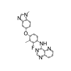 Cc1c(Oc2ccc3c(c2)ncn3C)ccc(Nc2ncnc3cccnc23)c1F